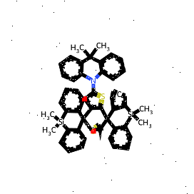 CC1(C)c2ccccc2N(c2cc3c(s2)C2(c4ccccc4[Si](C)(C)c4ccccc42)c2ccsc2C32c3ccccc3[Si](C)(C)c3ccccc32)c2ccccc21